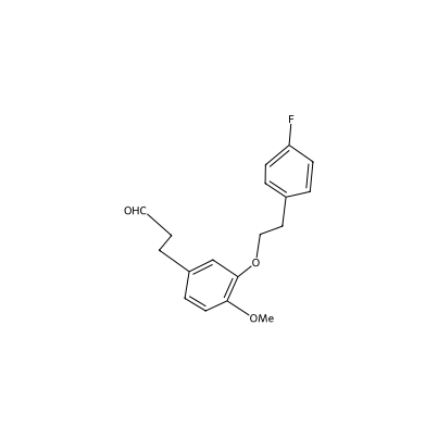 COc1ccc(CCC=O)cc1OCCc1ccc(F)cc1